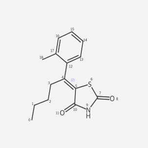 CCCC/C(=C1/SC(=O)NC1=O)c1ccccc1C